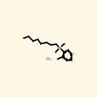 CCCCCCCC[N+](C)(C)c1ccccc1C.[Cl-]